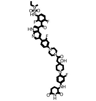 CCN(C)S(=O)(=O)Nc1ccc(F)c(C(=O)c2c[nH]c3ncc(-c4ccc(N5CCN(C(=O)CC6(O)CCN(c7ccc(NC8CCC(=O)NC8=O)cc7F)CC6)CC5)cc4F)cc23)c1F